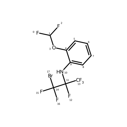 FC(F)Oc1ccccc1NC(F)(C(F)(F)F)C(F)(F)Br